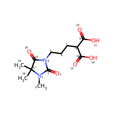 CN1C(=O)N(CCCC(C(=O)O)C(=O)O)C(=O)C1(C)C